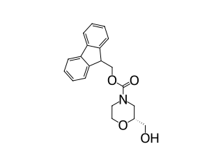 O=C(OCC1c2ccccc2-c2ccccc21)N1CCO[C@@H](CO)C1